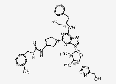 O=C(NCc1cccc(O)c1)NC1CCN(c2nc(N[C@H](CO)Cc3ccccc3)c3ncn([C@@H]4O[C@H](c5cc(CO)no5)[C@@H](O)[C@H]4O)c3n2)C1